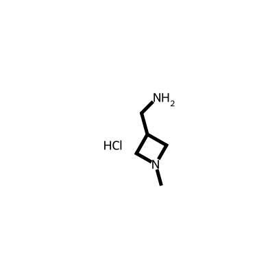 CN1CC(CN)C1.Cl